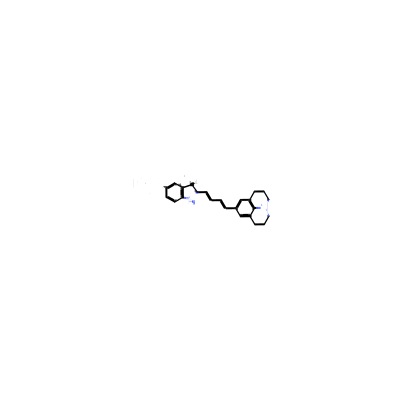 C[N+]1=C(/C=C/C=C/c2cc3c4c(c2)CCCN4CCC3)C(C)(C)c2cc(C(=O)O)ccc21